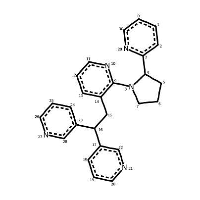 c1ccc(C2CCCN2c2ncccc2CC(c2cccnc2)c2cccnc2)nc1